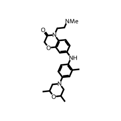 CNCCN1C(=O)COc2cc(Nc3ccc(N4CC(C)OC(C)C4)cc3C)ccc21